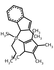 [CH2]C[CH2][Zr]([SiH3])([C]1=C(C)C(C)=C(C)C1C)[CH]1C(C)=Cc2ccccc21